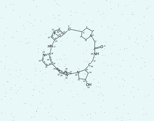 O=C1CN2CCC(CC2)Oc2cccc(c2F)Nc2cc(ccn2)-c2cnc(nc2)N2CC(O)CC2CCN1